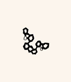 c1cc(-c2cccc3c2oc2ccccc23)c2cc3c(-c4cccc5c4oc4ccccc45)cccc3cc2c1